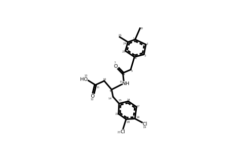 Cc1ccc(CC(=O)NC(CC(=O)O)Cc2ccc(Cl)c(Cl)c2)cc1C